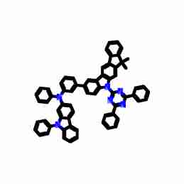 CC1(C)c2ccccc2-c2cc3c4cc(-c5cccc(N(c6ccccc6)c6ccc7c8ccccc8n(-c8ccccc8)c7c6)c5)ccc4n(-c4nc(-c5ccccc5)nc(-c5ccccc5)n4)c3cc21